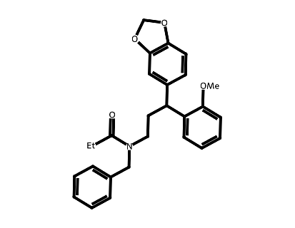 CCC(=O)N(CCC(c1ccc2c(c1)OCO2)c1ccccc1OC)Cc1ccccc1